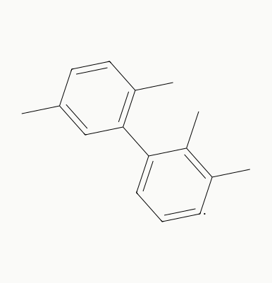 Cc1ccc(C)c(-c2cc[c]c(C)c2C)c1